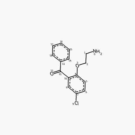 NCCOc1ccc(Cl)cc1C(=O)c1ccccc1